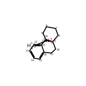 CN1CCCC23CCCCC12c1ccccc1CC3